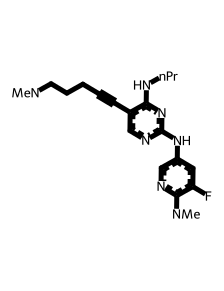 CCCNc1nc(Nc2cnc(NC)c(F)c2)ncc1C#CCCCNC